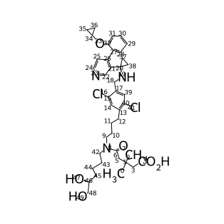 CC(C)(CC(=O)O)CC(=O)N(CCCCc1cc(Cl)c(CNC2(c3cnccc3-c3ccccc3OC3CC3)CC2)cc1Cl)CCCC[C@H](O)CO